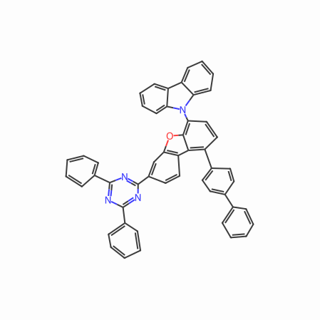 c1ccc(-c2ccc(-c3ccc(-n4c5ccccc5c5ccccc54)c4oc5cc(-c6nc(-c7ccccc7)nc(-c7ccccc7)n6)ccc5c34)cc2)cc1